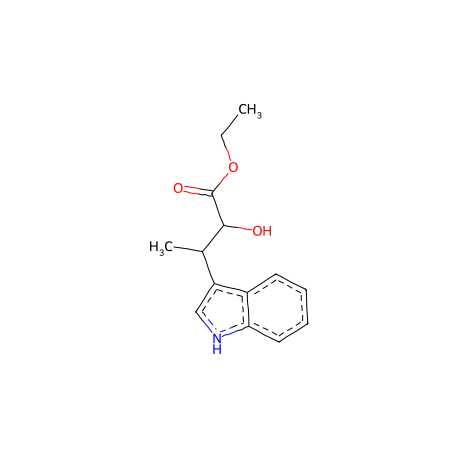 CCOC(=O)C(O)C(C)c1c[nH]c2ccccc12